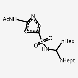 CCCCCCCC(CCCCCC)NS(=O)(=O)c1nnc(NC(C)=O)s1